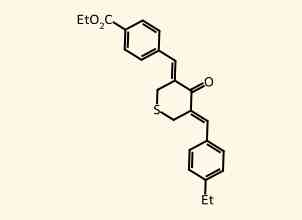 CCOC(=O)c1ccc(/C=C2\CSC/C(=C\c3ccc(CC)cc3)C2=O)cc1